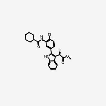 COC(=O)C(=O)c1c(-c2ccc(Cl)c(NC(=O)C3CCCCC3)c2)[nH]c2ccccc12